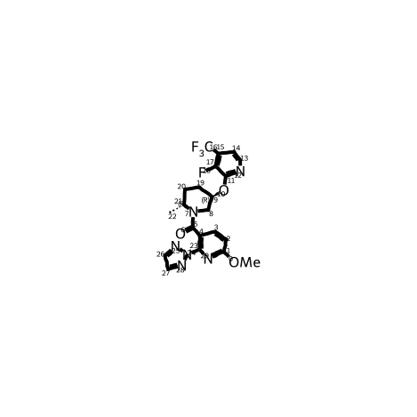 COc1ccc(C(=O)N2C[C@H](Oc3nccc(C(F)(F)F)c3F)CC[C@H]2C)c(-n2nccn2)n1